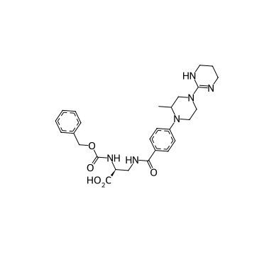 CC1CN(C2=NCCCN2)CCN1c1ccc(C(=O)NC[C@H](NC(=O)OCc2ccccc2)C(=O)O)cc1